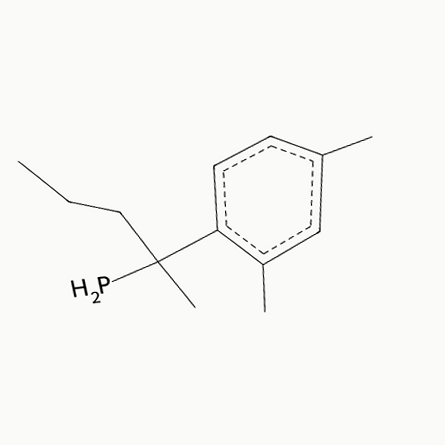 CCCC(C)(P)c1ccc(C)cc1C